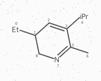 CCC1C=C(C(C)C)C(C)=NC1